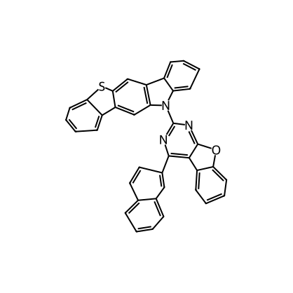 c1ccc2cc(-c3nc(-n4c5ccccc5c5cc6sc7ccccc7c6cc54)nc4oc5ccccc5c34)ccc2c1